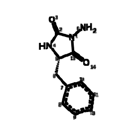 NN1C(=O)N[C@@H](Cc2ccccc2)C1=O